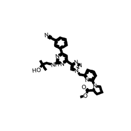 COC(=O)C1CCCN1c1cccc(Cn2cc(-c3cc(-c4cccc(C#N)c4)nc(NCC(C)(C)O)n3)nn2)n1